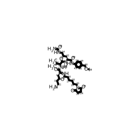 CC(C)[C@H](NC(=O)[C@H](CCCCN)NC(=O)CCCCCN1C(=O)C=CC1=O)C(=O)N[C@@H](CCCNC(N)=O)C(=O)Nc1ccc(COI)cc1